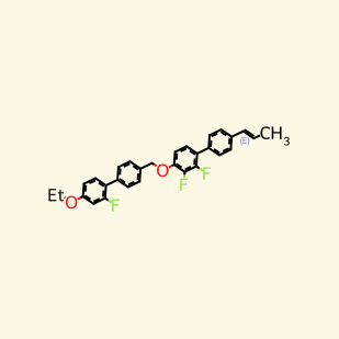 C/C=C/c1ccc(-c2ccc(OCc3ccc(-c4ccc(OCC)cc4F)cc3)c(F)c2F)cc1